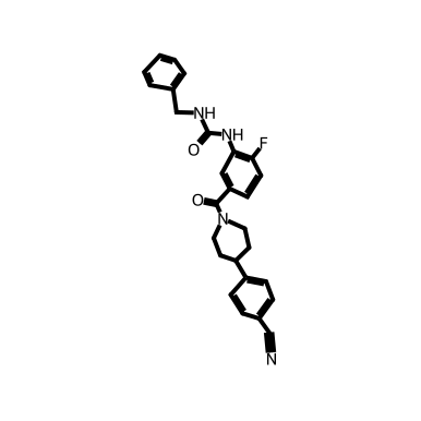 N#Cc1ccc(C2CCN(C(=O)c3ccc(F)c(NC(=O)NCc4ccccc4)c3)CC2)cc1